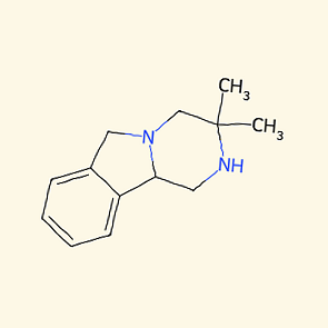 CC1(C)CN2Cc3ccccc3C2CN1